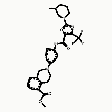 COC(=O)c1cccc2c1CCN(c1ccc(NC(=O)c3oc(N4CCCC(C)C4)nc3C(F)(F)F)cn1)C2